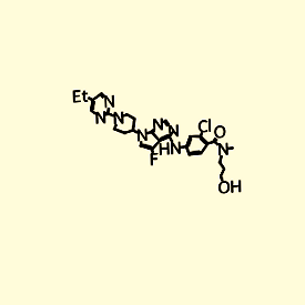 CCc1cnc(N2CCC(n3cc(F)c4c(Nc5ccc(C(=O)N(C)CCCO)c(Cl)c5)ncnc43)CC2)nc1